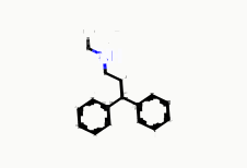 CCOC(=O)CNCCC(c1ccccc1)c1ccccc1